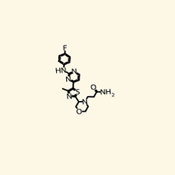 Cc1nc(C2COCCN2CCC(N)=O)sc1-c1ccnc(Nc2ccc(F)cc2)n1